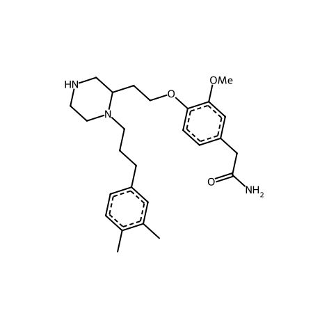 COc1cc(CC(N)=O)ccc1OCCC1CNCCN1CCCc1ccc(C)c(C)c1